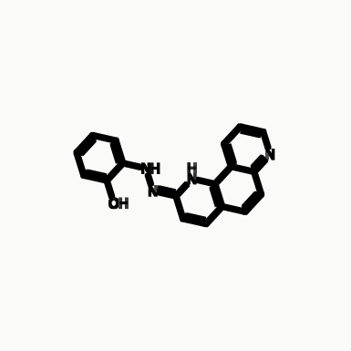 Oc1ccccc1NN=c1ccc2ccc3ncccc3c2[nH]1